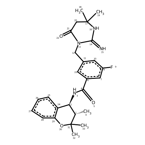 C[C@H]1[C@H](NC(=O)c2cc(F)cc(CN3C(=N)NC(C)(C)CC3=O)c2)c2ccccc2OC1(C)C